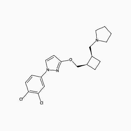 Clc1ccc(-n2ccc(OC[C@@H]3CC[C@@H]3CN3CCCC3)n2)cc1Cl